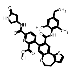 COC(=O)c1nc(C(=O)NC2CNC(=O)C2)ccc1-c1cc2c(cc1C(=O)Nc1c(C)cc(CN)cc1C)-c1sccc1CCO2